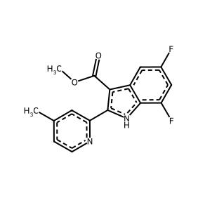 COC(=O)c1c(-c2cc(C)ccn2)[nH]c2c(F)cc(F)cc12